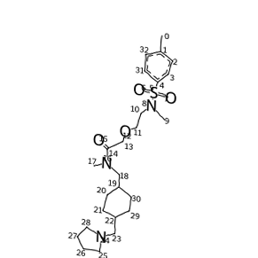 Cc1ccc(S(=O)(=O)N(C)CCOCC(=O)N(C)CC2CCC(CN3CCCC3)CC2)cc1